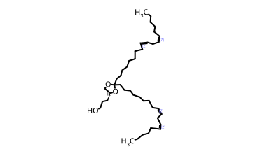 CCCCC/C=C\C/C=C\CCCCCCCCC1(CCCCCCCC/C=C\C/C=C\CCCCC)OC[C@H](CCCO)O1